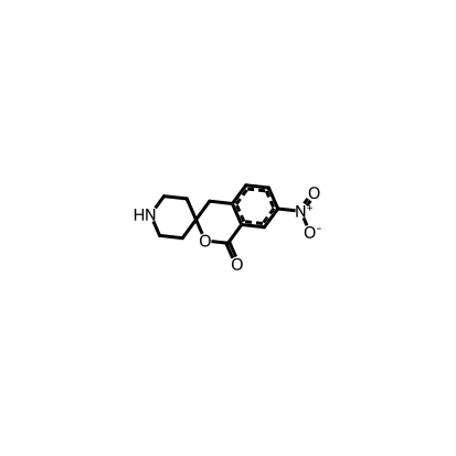 O=C1OC2(CCNCC2)Cc2ccc([N+](=O)[O-])cc21